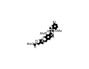 CCc1ccc(OC)c(S(=O)(=O)Nc2noc3cc(Cn4cc(CNC(=O)OC)cn4)c(F)c(OC)c23)c1